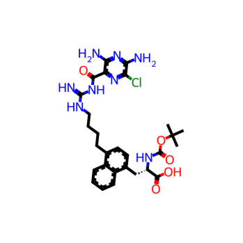 CC(C)(C)OC(=O)N[C@@H](Cc1ccc(CCCCNC(=N)NC(=O)c2nc(Cl)c(N)nc2N)c2ccccc12)C(=O)O